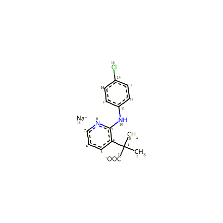 CC(C)(C(=O)[O-])c1cccnc1Nc1ccc(Cl)cc1.[Na+]